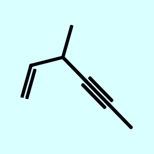 C=CC(C)C#CC